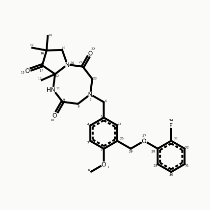 COc1ccc(CN2CC(=O)NC3(C)C(=O)C(C)(C)CN3C(=O)C2)cc1COc1ccccc1F